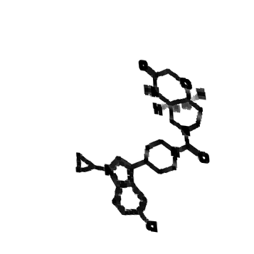 O=C1CO[C@H]2CCN(C(=O)N3CCC(c4cn(C5CC5)c5ccc(Cl)cc45)CC3)C[C@H]2N1